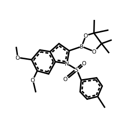 COc1cc2cc(B3OC(C)(C)C(C)(C)O3)n(S(=O)(=O)c3ccc(C)cc3)c2cc1OC